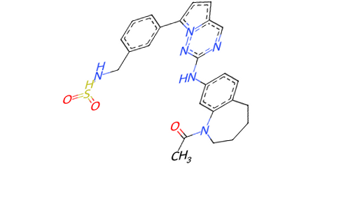 CC(=O)N1CCCCc2ccc(Nc3ncc4ccc(-c5cccc(CN[SH](=O)=O)c5)n4n3)cc21